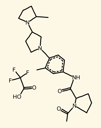 CC(=O)N1CCCC1C(=O)Nc1ccc(N2CCC(N3CCCC3C)C2)c(C)c1.O=C(O)C(F)(F)F